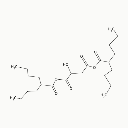 CCCCC(CCCC)C(=O)OC(=O)CC(O)C(=O)OC(=O)C(CCCC)CCCC